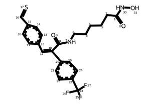 O=C(CCCCCNC(=O)/C(=C\c1ccc(C=S)cc1)c1ccc(C(F)(F)F)cc1)NO